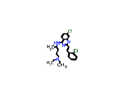 CCN(CC)CCCC(C)Nc1nc(C=Cc2ccccc2Cl)nc2cc(Cl)ccc12